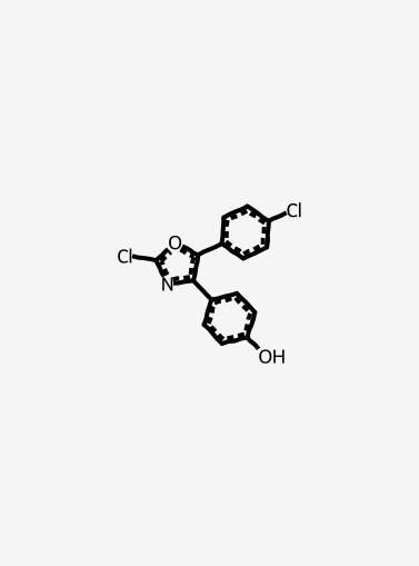 Oc1ccc(-c2nc(Cl)oc2-c2ccc(Cl)cc2)cc1